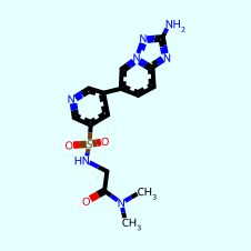 CN(C)C(=O)CNS(=O)(=O)c1cncc(-c2ccc3nc(N)nn3c2)c1